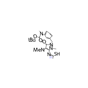 CNc1c(/N=C(/C)S)n(C)n(Cc2cccc(N(C)C(=O)OC(C)(C)C)c2)c1=O